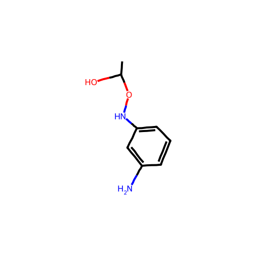 CC(O)ONc1cccc(N)c1